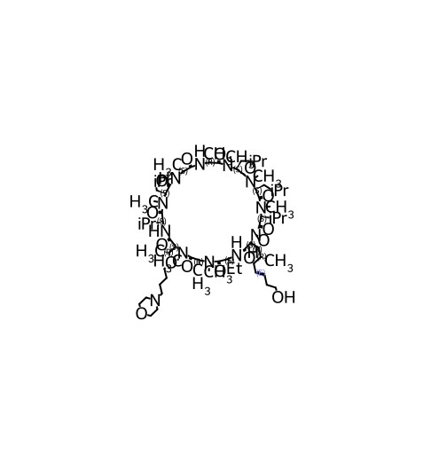 CC[C@@H]1NC(=O)[C@@H]2[C@@H]([C@H](C)C/C=C/CCO)ON2C(=O)[C@H](C(C)C)N(C)C(=O)[C@H](CC(C)C)N(C)C(=O)[C@H](CC(C)C)N(C)C(=O)[C@@H](C)NC(=O)[C@H](C)NC(=O)[C@H](CC(C)C)N(C)C(=O)[C@H](C(C)C)NC(=O)[C@H]([C@@H](C)OCCCCN2CCOCC2)N(C)C(=O)[C@@H](C)N(C)C1=O